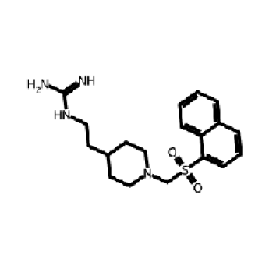 N=C(N)NCCC1CCN(CS(=O)(=O)c2cccc3ccccc23)CC1